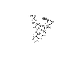 Cc1cccc(C)c1C(=O)N1CCC[C@H](C(=O)Nc2cccc(C(C)(C)C)c2)[C@@H]1c1ccc(CCC(C)(C)O)cc1